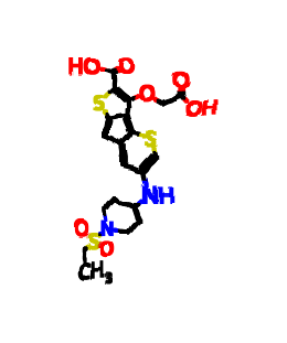 CCS(=O)(=O)N1CCC(Nc2csc3c4c(OCC(=O)O)c(C(=O)O)sc4cc-3c2)CC1